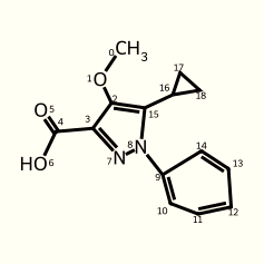 COc1c(C(=O)O)nn(-c2ccccc2)c1C1CC1